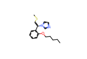 CCCCCOc1ccccc1/C(=C/SC)n1ccnc1